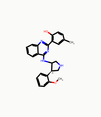 COc1ccccc1[C@@H]1CNCC1Nc1nc(-c2cc(C)ccc2O)nc2ccccc12